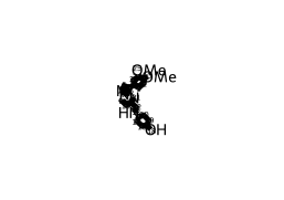 COc1ccc(-c2cnn3ccc(CNC4CCC(O)CC4)nc23)cc1OC